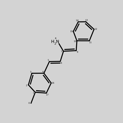 Cc1ccc(/C=C/C(N)=C/c2ccccc2)cc1